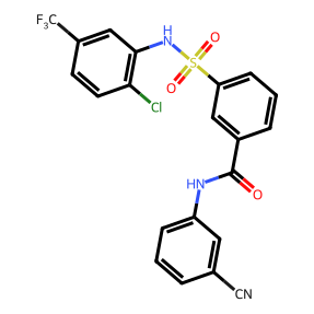 N#Cc1cccc(NC(=O)c2cccc(S(=O)(=O)Nc3cc(C(F)(F)F)ccc3Cl)c2)c1